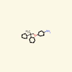 CC(COc1ccc(N)cc1)(c1ccccc1)c1ccccc1